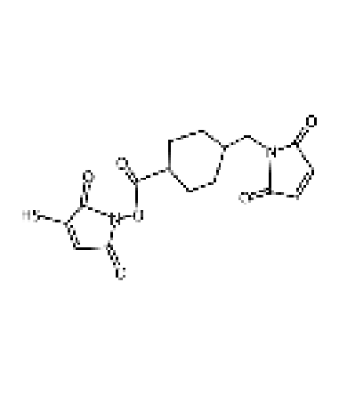 O=C(ON1C(=O)C=C(S)C1=O)C1CCC(CN2C(=O)C=CC2=O)CC1